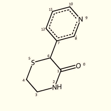 O=C1NCCSC1c1[c]nccc1